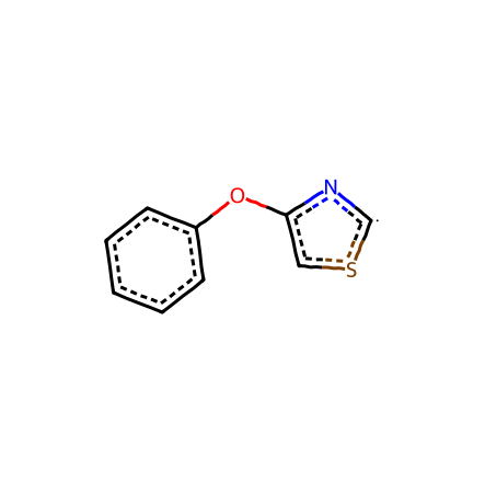 [c]1nc(Oc2ccccc2)cs1